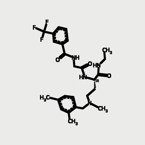 CCNC(=O)[C@H](CCN(C)Cc1ccc(C)cc1C)NC(=O)CNC(=O)c1cccc(C(F)(F)F)c1